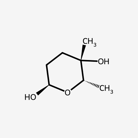 C[C@@H]1O[C@@H](O)CC[C@]1(C)O